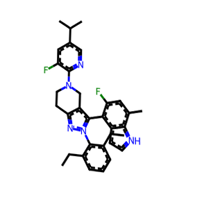 CCc1cccc(CC)c1-n1nc2c(c1-c1c(F)cc(C)c3[nH]ccc13)CN(c1ncc(C(C)C)cc1F)CC2